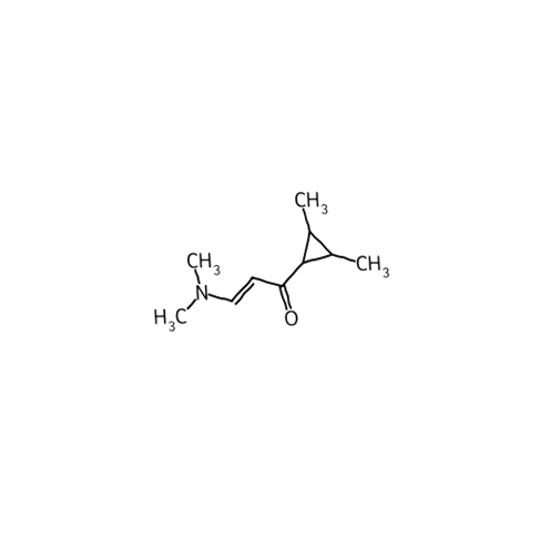 CC1C(C)C1C(=O)/C=C/N(C)C